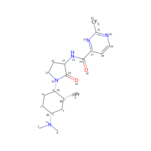 CCC[C@@H]1C[C@H](N(C)C)CC[C@@H]1N1CCC(NC(=O)c2ccnc(C(F)(F)F)n2)C1=O